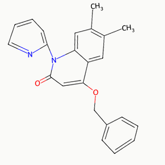 Cc1cc2c(OCc3ccccc3)cc(=O)n(-c3ccccn3)c2cc1C